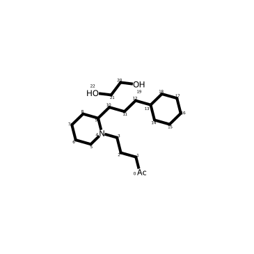 CC(=O)CCCN1CCCCC1CCCC1CCCCC1.OCCO